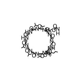 CCCC[C@@H](C)[C@H]1ON2C(=O)[C@H](C(C)C)N(C)C(=O)[C@H](CC(C)C)N(C)C(=O)[C@H](CC(C)C)N(C)C(=O)[C@@H](C)NC(=O)[C@H](C)NC(=O)[C@H](CC(C)C)N(C)C(=O)[C@H](C(C)C)NC(=O)[C@H](C(C)(C)COC(=O)NC)N(C)C(=O)[C@@H](C)N(C)C(=O)[C@H](CC)NC(=O)[C@H]12